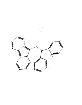 C1=CC2=c3ccccc3=C(CC3c4ccccc4-c4ccccc43)C2C=C1.[Cl-].[Cl-].[Zr+2]